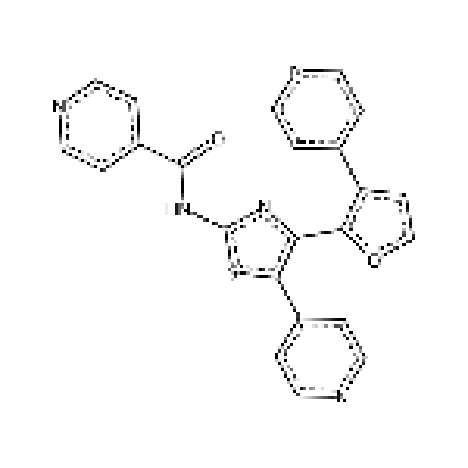 O=C(Nc1nc(-c2occc2-c2ccncc2)c(-c2ccncc2)s1)c1ccncc1